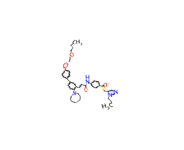 CCCCOCCOc1ccc(-c2ccc(N3CCCCCCC3)c(/C=C/C(=O)Nc3ccc([S@@+]([O-])Cc4cncn4CCC)cc3)c2)cc1